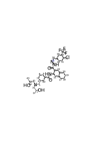 CC(O)CN(Cc1cccc(C(=O)Nc2cc3ccccc3cc2C(=O)N/N=C\c2ccc(Cl)c(C(F)(F)F)c2)c1)CC(C)O